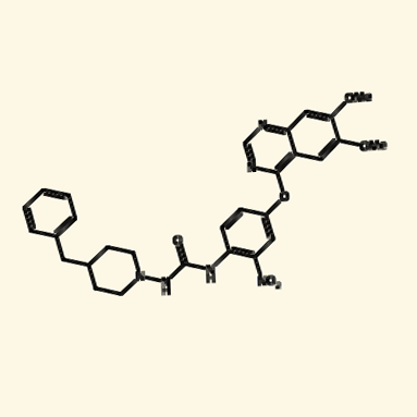 COc1cc2ncnc(Oc3ccc(NC(=O)NN4CCC(Cc5ccccc5)CC4)c([N+](=O)[O-])c3)c2cc1OC